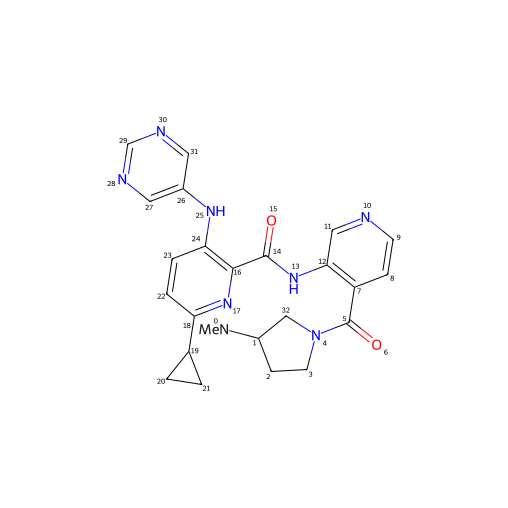 CNC1CCN(C(=O)c2ccncc2NC(=O)c2nc(C3CC3)ccc2Nc2cncnc2)C1